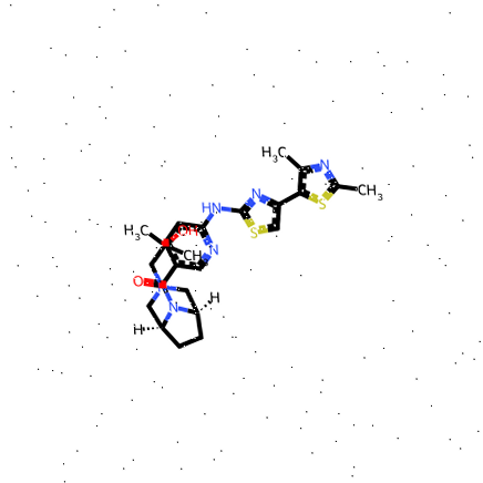 Cc1nc(C)c(-c2csc(Nc3ccc(C(=O)N4[C@@H]5CC[C@H]4CN(CC(C)(C)O)C5)cn3)n2)s1